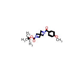 COc1ccc(C(=O)N2CC3(CN(C(=O)OC(C)(C)C)C3)C2)cc1